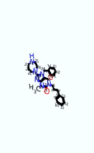 Cn1c(=O)n(C/C=C/c2ccccc2)c(=O)c2c1nc(N1CCCNCC1)n2Cc1ccccc1